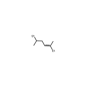 CCC(C)=CCC(C)CC